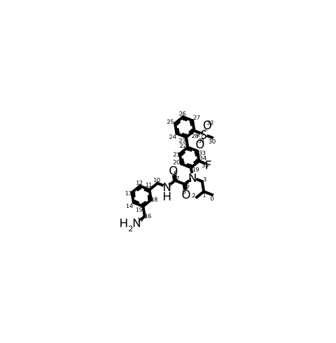 CC(C)CN(C(=O)C(=O)NCc1cccc(CN)c1)c1ccc(-c2ccccc2S(C)(=O)=O)cc1F